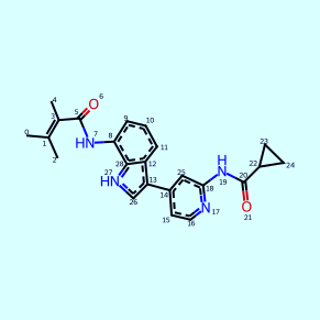 CC(C)=C(C)C(=O)Nc1cccc2c(-c3ccnc(NC(=O)C4CC4)c3)c[nH]c12